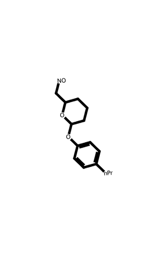 CCCc1ccc(OC2CCCC(CN=O)O2)cc1